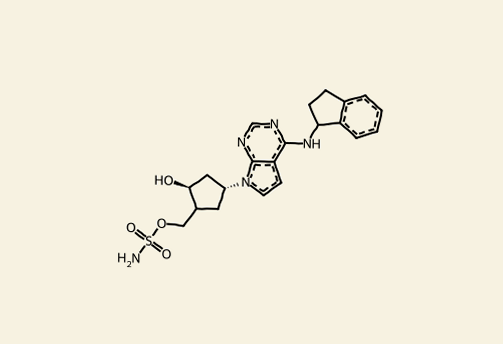 NS(=O)(=O)OCC1C[C@@H](n2ccc3c(NC4CCc5ccccc54)ncnc32)C[C@@H]1O